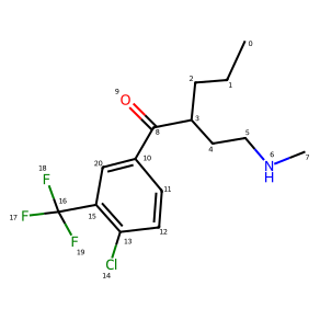 CCCC(CCNC)C(=O)c1ccc(Cl)c(C(F)(F)F)c1